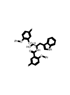 CC(C)Oc1ccc(I)cc1C(=O)N[C@@H](CO)Cc1c[nH]c2ccccc12.CC(C)Oc1ccc(I)cc1C(=O)O